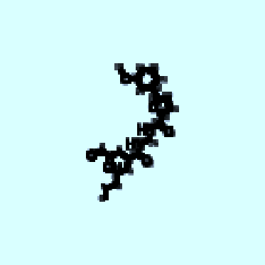 CCCCCC(CN(O)C=O)C(=O)NCNC(=O)c1ccc(-c2cccc(OC)c2)o1